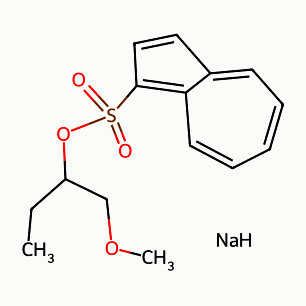 CCC(COC)OS(=O)(=O)c1ccc2cccccc1-2.[NaH]